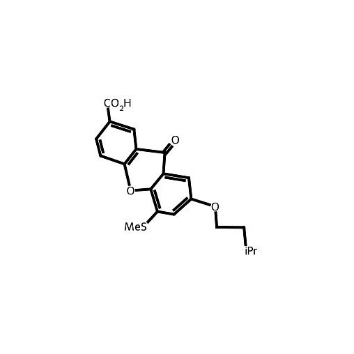 CSc1cc(OCCC(C)C)cc2c(=O)c3cc(C(=O)O)ccc3oc12